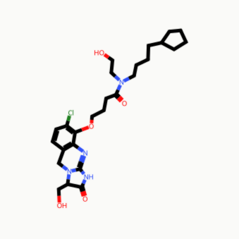 O=C1NC2=Nc3c(ccc(Cl)c3OCCCC(=O)N(CCO)CCCCC3CCCC3)CN2C1CO